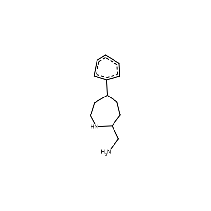 NCC1CCC(c2ccccc2)CCN1